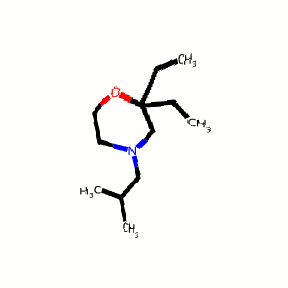 CCC1(CC)CN(CC(C)C)CCO1